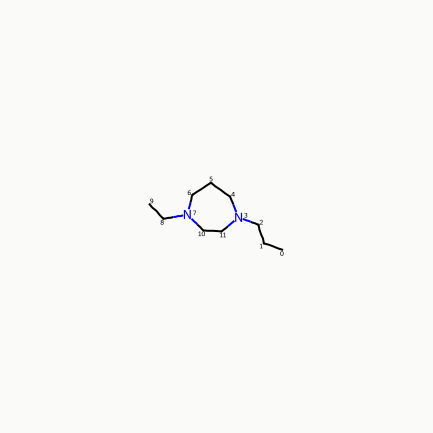 CCCN1CCCN(CC)CC1